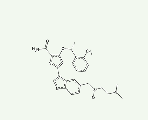 C[C@@H](Oc1cc(-n2cnc3ccc(C[S+]([O-])CCN(C)C)cc32)sc1C(N)=O)c1ccccc1C(F)(F)F